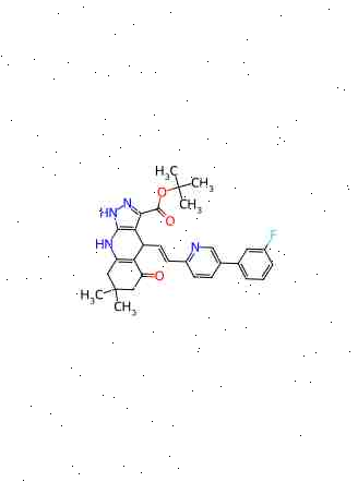 CC1(C)CC(=O)C2=C(C1)Nc1[nH]nc(C(=O)OC(C)(C)C)c1C2C=Cc1ccc(-c2cccc(F)c2)cn1